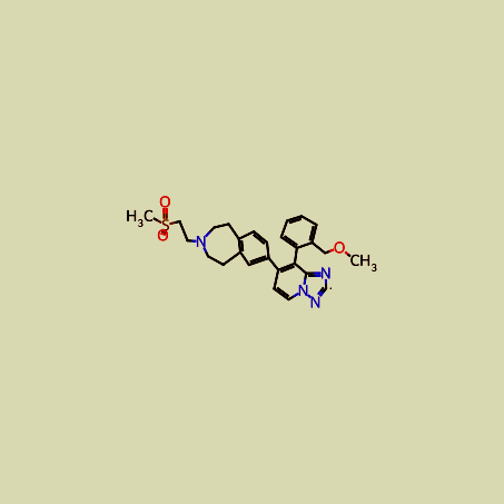 COCc1ccccc1-c1c(-c2ccc3c(c2)CCN(CCS(C)(=O)=O)CC3)ccn2n[c]nc12